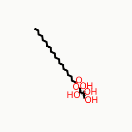 CCCCCCCCCCCCCCCCCCCC(=O)OC(O)[C@@H](O)[C@@H](O)CO